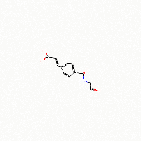 O=[C]CNC(=O)c1ccc(C=CC(=O)O)cc1